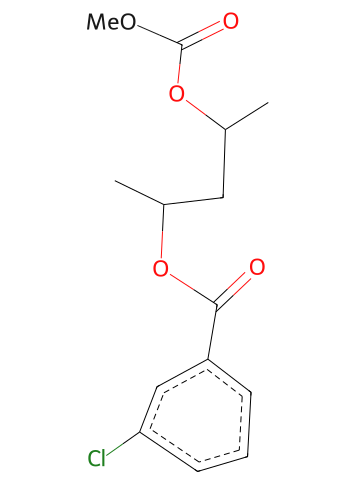 COC(=O)OC(C)CC(C)OC(=O)c1cccc(Cl)c1